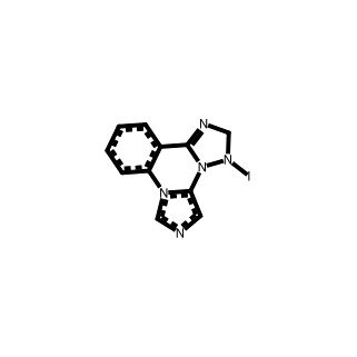 IN1CN=C2c3ccccc3-n3cncc3N21